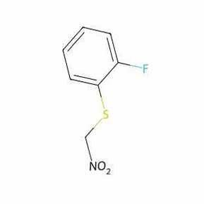 O=[N+]([O-])CSc1ccccc1F